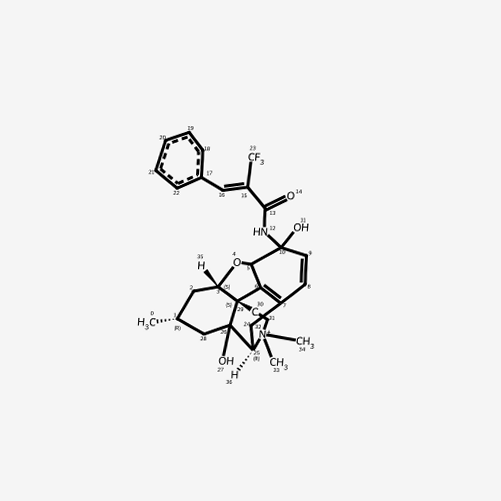 C[C@@H]1C[C@@H]2OC3C4=C(C=CC3(O)NC(=O)C(=Cc3ccccc3)C(F)(F)F)C[C@@H]3C(O)(C1)[C@@]42CC[N+]3(C)C